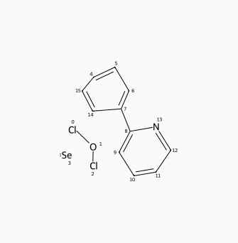 ClOCl.[Se].c1ccc(-c2ccccn2)cc1